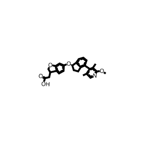 COc1ncc(C)c(-c2cccc3c2CC[C@H]3Oc2ccc3c(c2)OCC3CC(=O)O)c1C